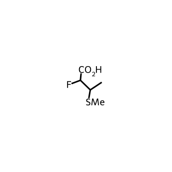 CSC(C)C(F)C(=O)O